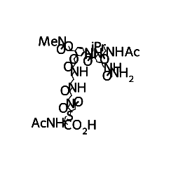 CNC(=O)OCc1ccc(NC(=O)[C@H](CCCNC(N)=O)NC(=O)[C@@H](NC(C)=O)C(C)C)cc1OCC(=O)NCCCNC(=O)CCN1C(=O)CC(SC[C@H](NC(C)=O)C(=O)O)C1=O